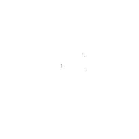 c1ccc(-[n+]2cn3c4ccccc4c4ccccc4c3n2)cc1